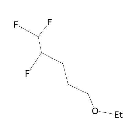 CCOCCCC(F)C(F)F